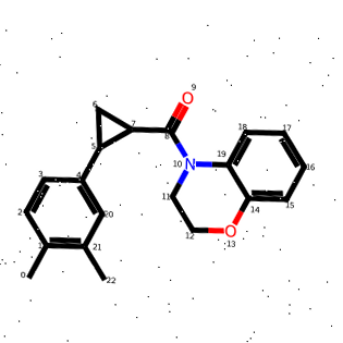 Cc1ccc(C2CC2C(=O)N2CCOc3ccccc32)cc1C